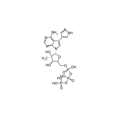 C[C@@]1(O)[C@H](O)C(COP(=O)(O)OP(=O)(O)OP(=O)(O)O)O[C@H]1n1cc(-c2cn[nH]c2)c2c(N)ncnc21